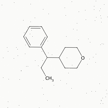 CCC(c1ccccc1)C1CCOCC1